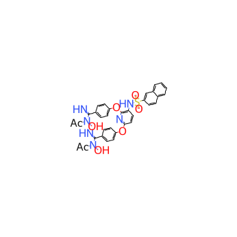 CC(=O)N(O)C(=N)c1ccc(Oc2ccc(NS(=O)(=O)c3ccc4ccccc4c3)c(Oc3ccc(C(=N)N(O)C(C)=O)cc3)n2)cc1